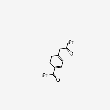 CC(C)C(=O)CC1=CC=C(C(=O)C(C)C)CC1